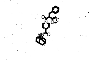 O=C(NC12CC3CC(CC(C3)C1)C2)C1CCN(C(=O)C(Cc2ccccc2)C2=COCO2)CC1